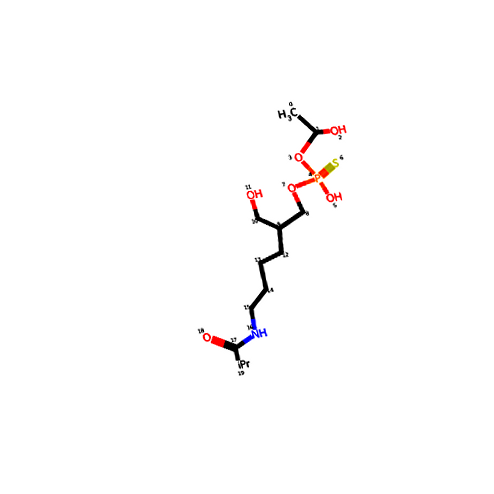 CC(O)OP(O)(=S)OCC(CO)CCCCNC(=O)C(C)C